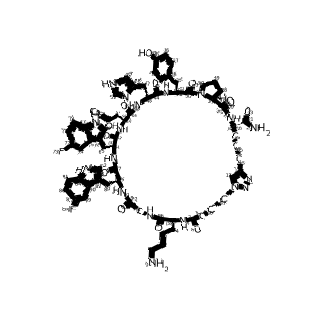 NCCCC[C@@H]1NC(=O)CCCn2cc(nn2)CCC[C@@H](C(N)=O)NC(=O)[C@@H]2CCCN2C(=O)[C@H](Cc2ccc(O)cc2)NC(=O)[C@H](Cc2c[nH]cn2)NC(=O)[C@H](CC(=O)O)NC(=O)[C@H](Cc2c[nH]c3ccc(F)cc23)NC(=O)[C@H](Cc2c[nH]c3ccc(F)cc23)NC(=O)CNC1=O